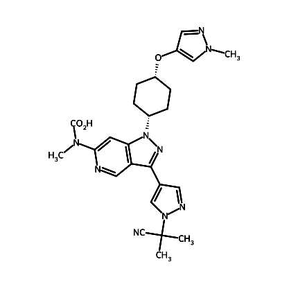 CN(C(=O)O)c1cc2c(cn1)c(-c1cnn(C(C)(C)C#N)c1)nn2[C@H]1CC[C@@H](Oc2cnn(C)c2)CC1